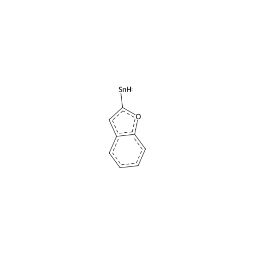 [SnH][c]1cc2ccccc2o1